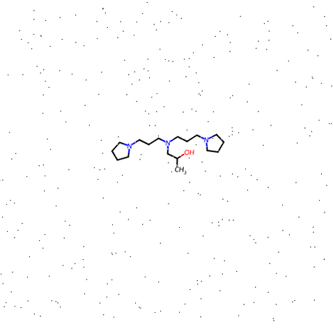 CC(O)CN(CCCN1CCCC1)CCCN1CCCC1